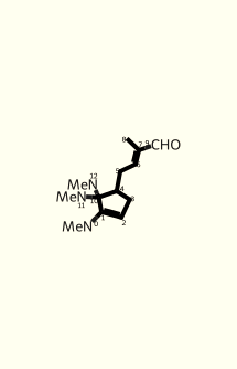 CNC1=CCC(CC=C(C)C=O)C1(NC)NC